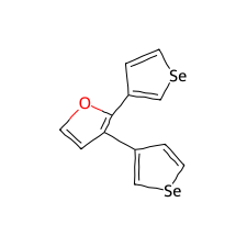 c1cc(-c2cc[se]c2)c(-c2cc[se]c2)o1